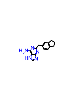 Nc1nc(Cc2ccc3c(c2)CCC3)nc2nc[nH]c12